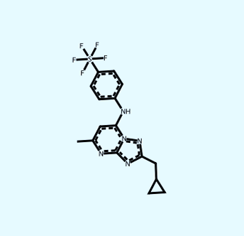 Cc1cc(Nc2ccc(S(F)(F)(F)(F)F)cc2)n2nc(CC3CC3)nc2n1